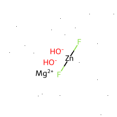 [F][Zn][F].[Mg+2].[OH-].[OH-]